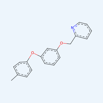 Cc1ccc(Oc2cccc(OCc3ccccn3)c2)cc1